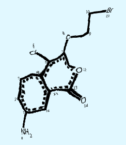 Nc1ccc2c(Cl)c(OCCBr)oc(=O)c2c1